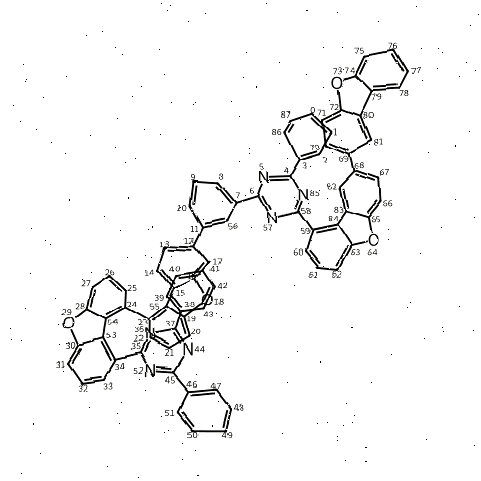 c1ccc(-c2nc(-c3cccc(-c4ccc5c(c4)oc4cccc(-c6cccc7oc8cccc(-c9nc(-c%10ccccc%10)nc(-c%10ccccc%10)n9)c8c67)c45)c3)nc(-c3cccc4oc5ccc(-c6ccc7oc8ccccc8c7c6)cc5c34)n2)cc1